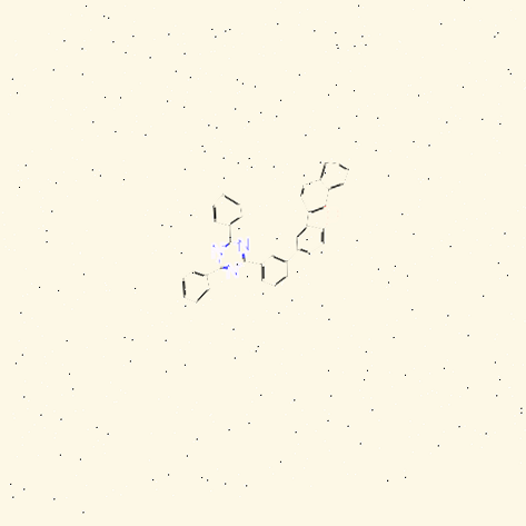 c1ccc(-c2nc(-c3ccccc3)nc(-c3cccc(-c4ccc5oc6c7ccccc7ccc6c5c4)c3)n2)cc1